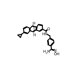 NC(=NO)c1ccc(CNC(=O)c2ccc3c(c2)[C@@H]2O[C@H]3c3ccc(C4CC4)cc32)cc1